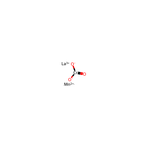 [La+3].[Mn+2].[O]=[Cr]([O-])[O-]